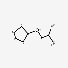 FC(F)COC1CCCC1